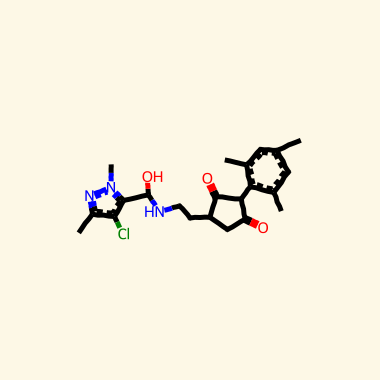 Cc1cc(C)c(C2C(=O)CC(CCNC(O)c3c(Cl)c(C)nn3C)C2=O)c(C)c1